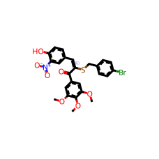 COc1cc(C(=O)/C(=C\c2ccc(O)c([N+](=O)[O-])c2)SCc2ccc(Br)cc2)cc(OC)c1OC